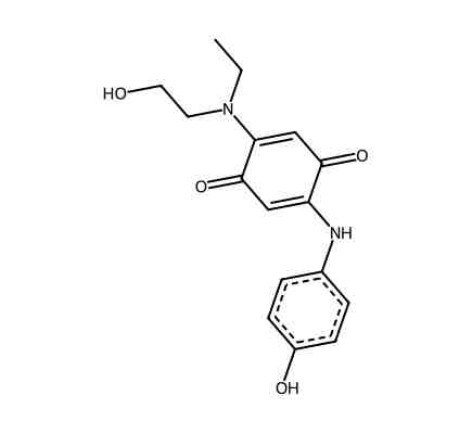 CCN(CCO)C1=CC(=O)C(Nc2ccc(O)cc2)=CC1=O